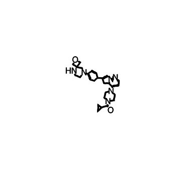 O=C(C1CC1)N1CCN(C2=CC=NN3C=C(C4C=CC(N5CCNC6(COC6)C5)=CC4)CC23)CC1